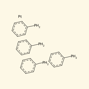 Pc1ccccc1.Pc1ccccc1.Pc1ccccc1.Pc1ccccc1.[Pt]